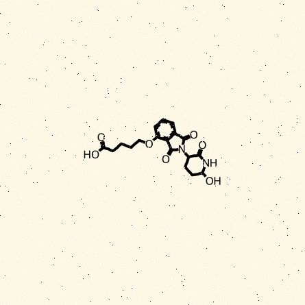 O=C(O)CCCCOc1cccc2c1C(=O)N(C1CCC(O)NC1=O)C2=O